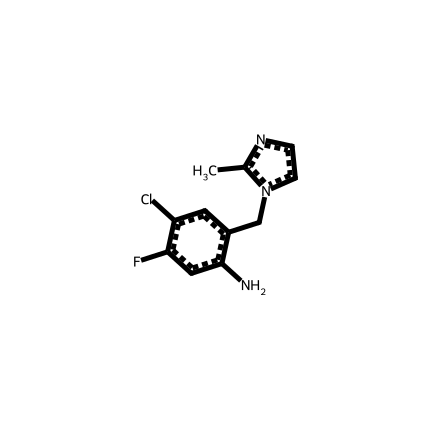 Cc1nccn1Cc1cc(Cl)c(F)cc1N